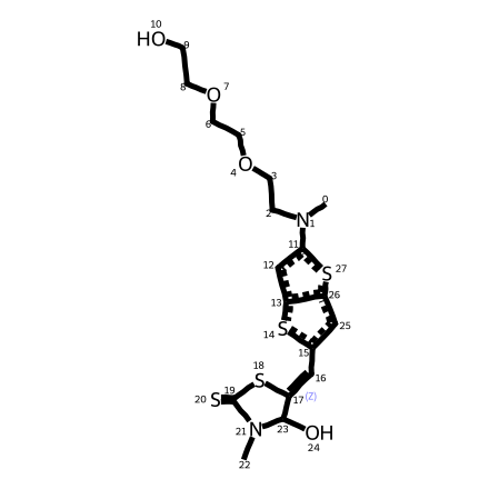 CN(CCOCCOCCO)c1cc2sc(/C=C3\SC(=S)N(C)C3O)cc2s1